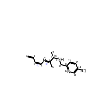 C=C/C=C\N=C(/C)[C@@H](C)NCc1ccc(Cl)cn1